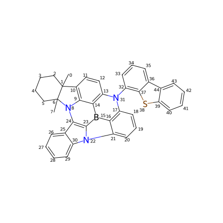 CC12CCCCC1(C)N1c3c2ccc2c3B3c4c(cccc4-n4c3c1c1ccccc14)N2c1cccc2c1sc1ccccc12